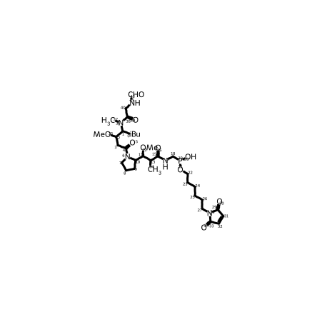 CCC(C)C(C(CC(=O)N1CCCC1C(OC)C(C)C(=O)NCP(O)OCCCCCCN1C(=O)C=CC1=O)OC)N(C)C(=O)CNC=O